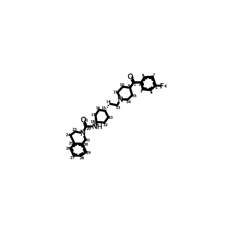 O=C(c1ccc(F)cc1)C1CCN(CC[C@H]2CC[C@H](NC(=O)N3CCc4ccccc4C3)CC2)CC1